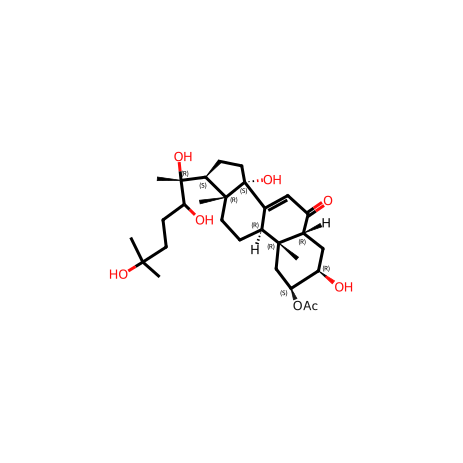 CC(=O)O[C@H]1C[C@@]2(C)[C@@H](C[C@H]1O)C(=O)C=C1[C@@H]2CC[C@]2(C)[C@@H]([C@@](C)(O)C(O)CCC(C)(C)O)CC[C@@]12O